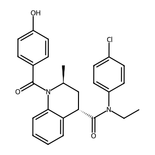 CCN(C(=O)[C@H]1C[C@H](C)N(C(=O)c2ccc(O)cc2)c2ccccc21)c1ccc(Cl)cc1